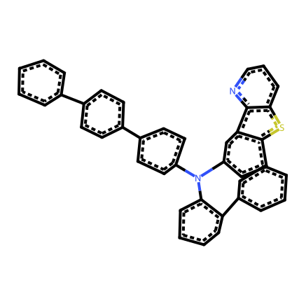 c1ccc(-c2ccc(-c3ccc(N(c4ccc5sc6cccnc6c5c4)c4ccccc4-c4ccccc4)cc3)cc2)cc1